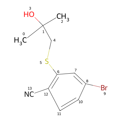 CC(C)(O)CSc1cc(Br)ccc1C#N